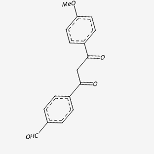 COc1ccc(C(=O)CC(=O)c2ccc(C=O)cc2)cc1